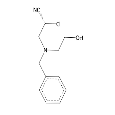 N#C[C@H](Cl)CN(CCO)Cc1ccccc1